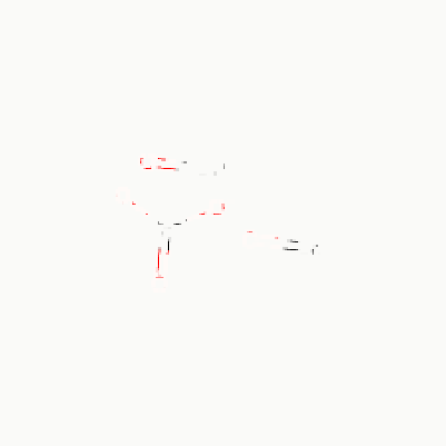 O=C([O-])[O-].[O]=[La+].[O]=[La+]